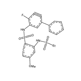 CCS(=O)(=O)Nc1cc(OC)ccc1S(=O)(=O)Nc1cc(-c2ccccc2)c#cc1F